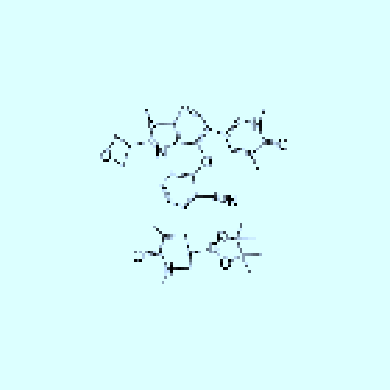 Cc1cc(-c2ccc3c(nc(C4COC4)n3C)c2Oc2ccccc2C#N)cn(C)c1=O.Cc1cc(B2OC(C)(C)C(C)(C)O2)cn(C)c1=O